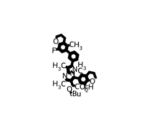 Cc1nc2c(C)c(-c3cccc(-c4cc(F)c5c(c4C)CCCO5)c3)nn2c(-c2cc(F)c3c(c2C)CCCO3)c1C(OC(C)(C)C)C(=O)O